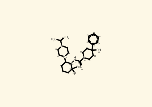 CC(C)N1CCN(C2CCCC(F)(F)[C@@H]2NC(=O)N2CCC(O)(c3ccccc3)CC2)CC1